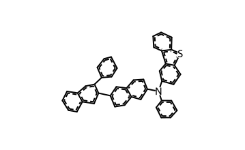 c1ccc(-c2cc3ccccc3cc2-c2ccc3cc(N(c4ccccc4)c4ccc5sc6ccccc6c5c4)ccc3c2)cc1